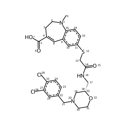 CN1CCC(C(=O)O)=Cc2cc(SCC(=O)NC[C@H]3CN(Cc4ccc(Cl)c(Cl)c4)CCO3)ccc21